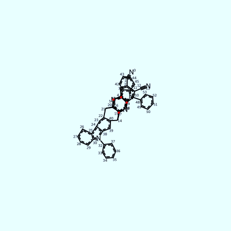 N#Cc1cc2nc3c(nc2cc1C#N)C1c2cc4c(cc2C3c2cc3c5ccccc5n(-c5ccccc5)c3cc21)c1ccccc1n4-c1ccccc1